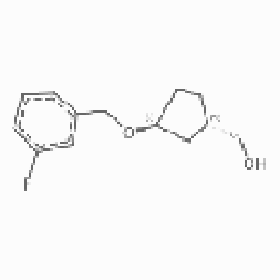 OC[C@H]1CC[C@H](OCc2cccc(F)c2)C1